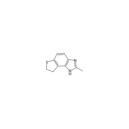 Cc1nc2ccc3c(c2[nH]1)CCS3